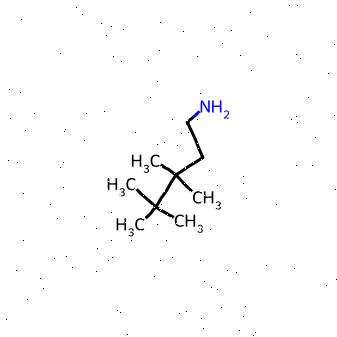 CC(C)(C)C(C)(C)CCN